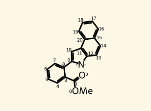 COC(=O)c1ccccc1C1=Cc2c(ccc3ccccc23)[N]1